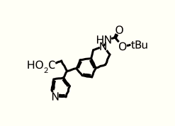 CC(C)(C)OC(=O)NN1CCc2ccc(C(CC(=O)O)c3ccncc3)cc2C1